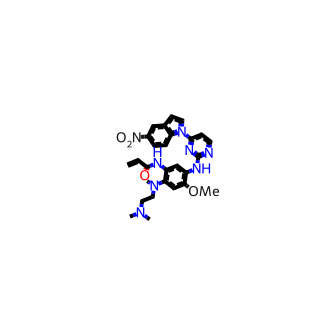 C=CC(=O)Nc1cc(Nc2nccc(-n3ccc4cc([N+](=O)[O-])ccc43)n2)c(OC)cc1N(C)CCN(C)C